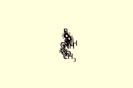 CC(=O)N1CCC[C@H](C(=O)NC2Nc3ccc4cc(F)ccc4c3S2)C1